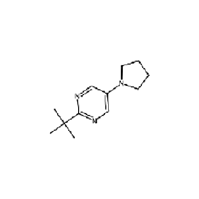 CC(C)(C)c1ncc(N2CCCC2)cn1